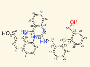 O=S(=O)(O)c1ccc2ccccc2c1Nc1nc(NCc2ccccc2Sc2ccccc2CO)nc2ccccc12